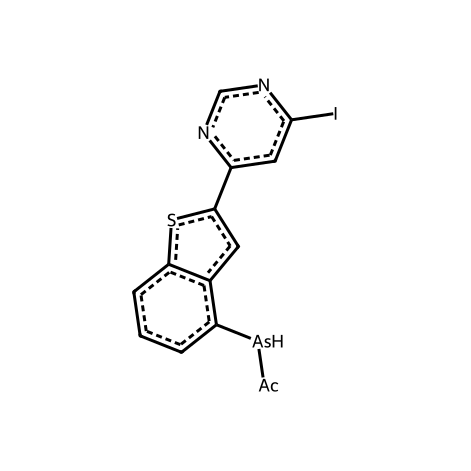 CC(=O)[AsH]c1cccc2sc(-c3cc(I)ncn3)cc12